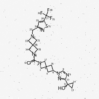 O=C(N1CC2(CC(n3cnc(C4(O)CC4)n3)C2)C1)N1CC2(CN(Cc3cc(C(F)(F)F)sn3)C2)C1